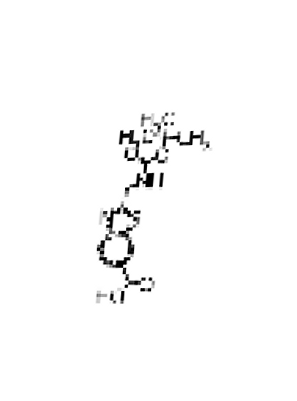 CC(C)(C)OC(=O)NCc1nc2ccc(C(=O)O)cc2s1